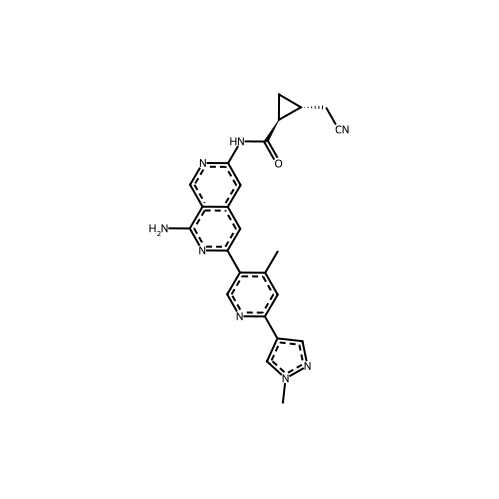 Cc1cc(-c2cnn(C)c2)ncc1-c1cc2cc(NC(=O)[C@H]3C[C@@H]3CC#N)ncc2c(N)n1